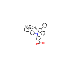 CC1(C)c2ccccc2-c2ccc(N(c3ccc(B(O)O)cc3)c3ccc(-c4ccccc4)c4ccccc34)cc21